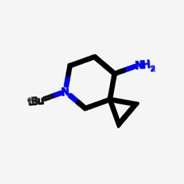 CC(C)(C)N1CCC(N)C2(CC2)C1